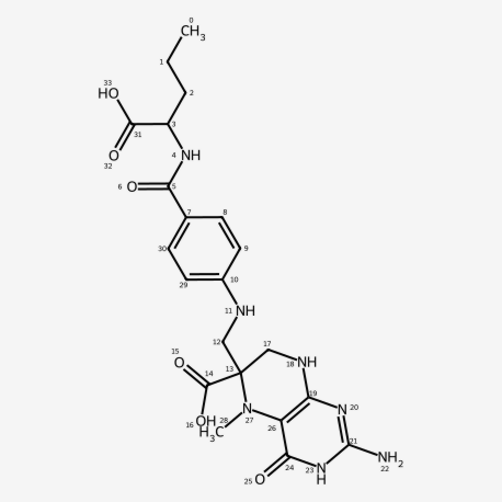 CCCC(NC(=O)c1ccc(NCC2(C(=O)O)CNc3nc(N)[nH]c(=O)c3N2C)cc1)C(=O)O